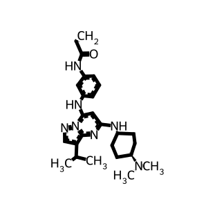 C=CC(=O)Nc1cccc(Nc2cc(N[C@H]3CC[C@H](N(C)C)CC3)nc3c(C(C)C)cnn23)c1